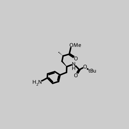 COC(=O)[C@@H](C)C[C@H](Cc1ccc(N)cc1)NC(=O)OC(C)(C)C